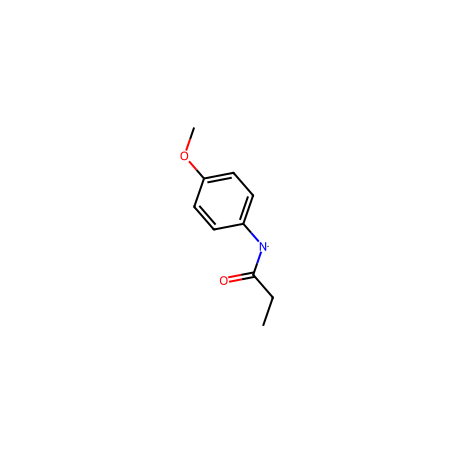 CCC(=O)[N]c1ccc(OC)cc1